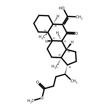 COC(=O)CCC(C)[C@H]1CC[C@H]2[C@@H]3C(=O)C(=C(C)O)[C@@H]4CCCC[C@]4(C)[C@H]3CC[C@]12C